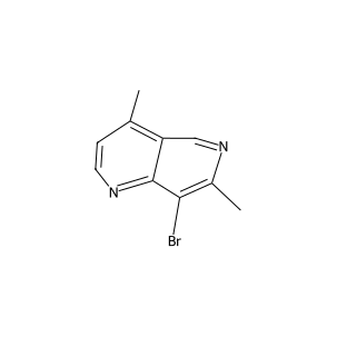 Cc1ncc2c(C)ccnc2c1Br